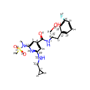 CN(c1cc(C(=O)N[C@H](CO)Cc2cccc(F)c2)cc(NCC2CC2)n1)S(C)(=O)=O